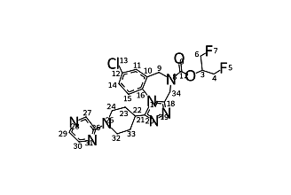 O=C(OC(CF)CF)N1Cc2cc(Cl)ccc2-n2c(nnc2C2CCN(c3cnccn3)CC2)C1